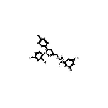 O=S(=O)(NCC1=NN(c2ccc(Cl)cc2Cl)C(c2ccc(Cl)cc2)C1)c1cc(Cl)cc(Cl)c1